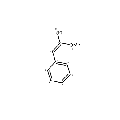 CCCC(=Cc1ccccc1)OC